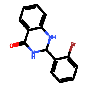 O=C1NC(c2ccccc2Br)Nc2ccccc21